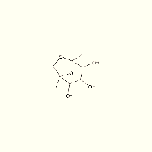 CC12CSC(C)(O1)C(O)C(O)C2O